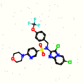 O=S(=O)(c1ccc(N2CCOCC2)nc1)N(Cc1ccc(OC(F)(F)F)cc1)c1nc2ccc(Cl)cn2c1Cl